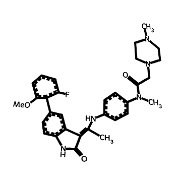 COc1cccc(F)c1-c1ccc2c(c1)C(=C(C)Nc1ccc(N(C)C(=O)CN3CCN(C)CC3)cc1)C(=O)N2